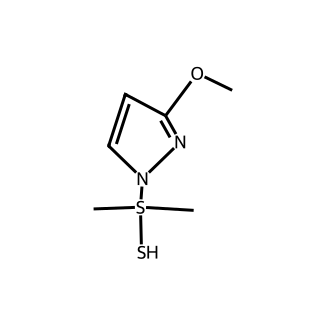 COc1ccn(S(C)(C)S)n1